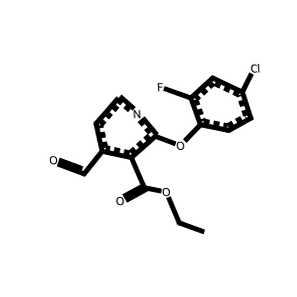 CCOC(=O)c1c(C=O)ccnc1Oc1ccc(Cl)cc1F